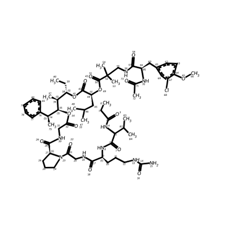 CCC(=O)NC(C(=O)N[C@@H](CCCNC(N)=O)C(=O)NCC(=O)N1CCC[C@H]1C(=O)NCC(=O)O[C@H]([C@@H](C)[C@H](CC)OC(=O)[C@H](CC(C)C)OC(=O)C(C)(C)CNC(=O)[C@@H](Cc1ccc(OC)c(Cl)c1)NC(C)=O)[C@@H](C)c1ccccc1)C(C)C